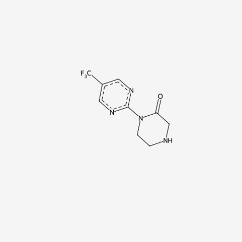 O=C1CNCCN1c1ncc(C(F)(F)F)cn1